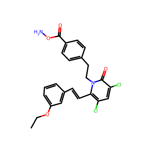 CCOc1cccc(/C=C/c2c(Cl)cc(Cl)c(=O)n2CCc2ccc(C(=O)ON)cc2)c1